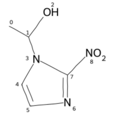 CC(O)n1ccnc1[N+](=O)[O-]